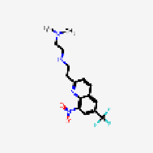 CN(C)CCNCCc1ccc2cc(C(F)(F)F)cc([N+](=O)[O-])c2n1